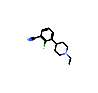 CCN1CCC(c2cccc(C#N)c2Cl)CC1